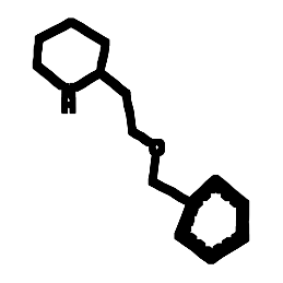 c1ccc(COCCC2CCCCN2)cc1